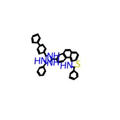 c1ccc(-c2ccc(C3NC(c4ccccc4)NC(c4ccc5c(ccc6ccc7c(c65)NC(c5ccccc5)S7)c4)N3)cc2)cc1